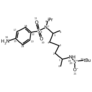 CC(CCCC(C)N(C(C)C)S(=O)(=O)c1ccc(N)cc1)N[S+]([O-])C(C)(C)C